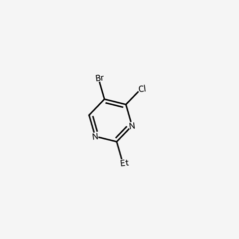 CCc1ncc(Br)c(Cl)n1